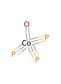 [O]=[Co](#[P])(#[P])#[P]